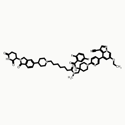 CCOc1cc(-c2ccc(N3CCC(CN(C)C(=O)CCCCCCN4CCC(c5ccc6c(c5)CN(C5CCC(=O)NC5=O)C6=O)CC4)(NC(=O)c4cc(F)ccc4F)CC3)nc2)c2c(C#N)cnn2c1